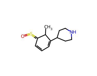 CC1C(C2CCNCC2)=CC=CC1=S=O